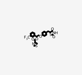 O=C1NC(=O)C(Cc2ccc(OCC(OC(=O)c3cscn3)c3cccc(C(F)(F)F)c3)cc2)S1